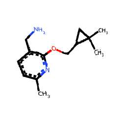 Cc1ccc(CN)c(OCC2CC2(C)C)n1